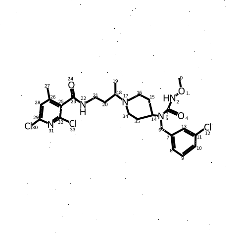 CONC(=O)N(Cc1cccc(Cl)c1)C1CCN(C(C)CCNC(=O)c2c(C)cc(Cl)nc2Cl)CC1